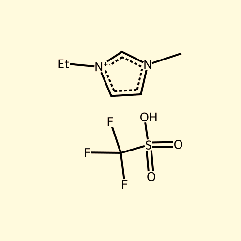 CC[n+]1ccn(C)c1.O=S(=O)(O)C(F)(F)F